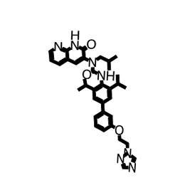 CC(C)CN(C(=O)Nc1c(C(C)C)cc(-c2cccc(OCCn3cncn3)c2)cc1C(C)C)c1cc2cccnc2[nH]c1=O